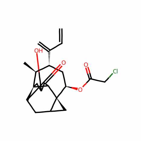 C=CC(=C)[C@@H]1C[C@@H](OC(=O)CCl)[C@]23CC2CC[C@]2(CC(O)C(=O)C23)[C@H]1C